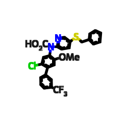 COc1cc(-c2cccc(C(F)(F)F)c2)c(Cl)cc1N(C(=O)O)c1ccc(SCc2ccccc2)cn1